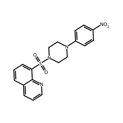 O=[N+]([O-])c1ccc(N2CCN(S(=O)(=O)c3cccc4cccnc34)CC2)cc1